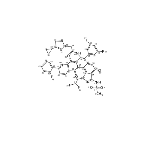 CS(=O)(=O)Nc1nn(CC(F)F)c2c(-n3c([C@H](Cc4cc(F)cc(F)c4)NC(=O)Cn4ccc(C5CC5)n4)nc4nc(-c5ccccc5F)ccc4c3=O)ccc(Cl)c12